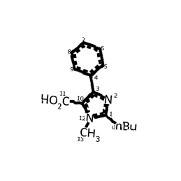 CCCCc1nc(-c2ccccc2)c(C(=O)O)n1C